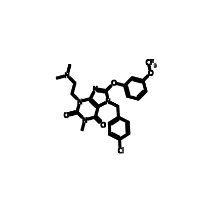 CN(C)CCn1c(=O)n(C)c(=O)c2c1nc(Oc1cccc(OC(F)(F)F)c1)n2Cc1ccc(Cl)cc1